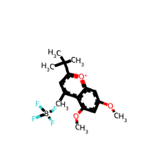 COc1cc(OC)c2c(C)cc(C(C)(C)C)[o+]c2c1.F[B-](F)(F)F